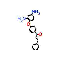 Nc1ccc(Oc2ccc(C(=O)C=Cc3ccccc3)cc2)c(N)c1